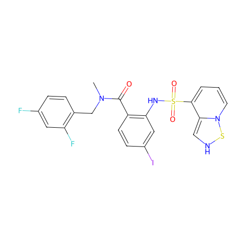 CN(Cc1ccc(F)cc1F)C(=O)c1ccc(I)cc1NS(=O)(=O)C1=CC=CN2SNC=C12